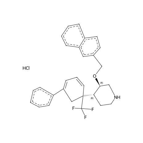 Cl.FC(F)(F)C1([C@H]2CCNC[C@@H]2OCc2ccc3ccccc3c2)C=CC=C(c2ccccc2)C1